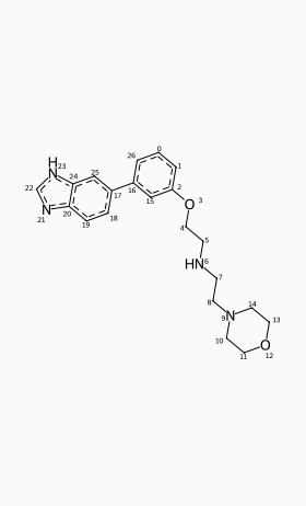 c1cc(OCCNCCN2CCOCC2)cc(-c2ccc3nc[nH]c3c2)c1